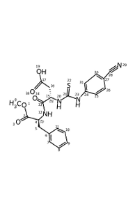 COC(=O)[C@H](Cc1ccccc1)NC(=O)[C@H](CC(=O)O)NC(=S)Nc1ccc(C#N)cc1